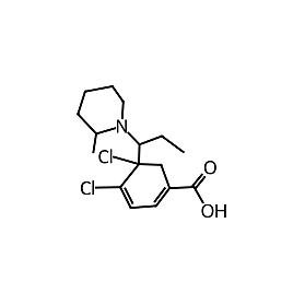 CCC(N1CCCCC1C)C1(Cl)CC(C(=O)O)=CC=C1Cl